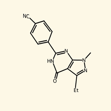 CCc1nn(C)c2nc(-c3ccc(C#N)cc3)[nH]c(=O)c12